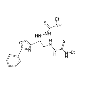 CCNC(=S)NNCC(NNC(=S)NCC)c1coc(-c2ccccc2)n1